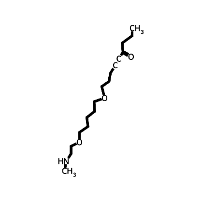 CCCC(=O)CCCCCOCCCCCOCCNC